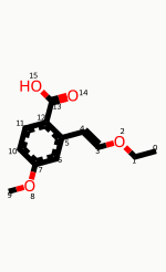 CCO/C=C/c1cc(OC)ccc1C(=O)O